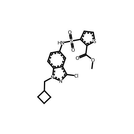 COC(=O)c1sccc1S(=O)(=O)Nc1ccc2c(c1)c(Cl)nn2CC1CCC1